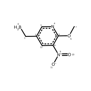 BCc1cnc(OC)c([N+](=O)[O-])c1